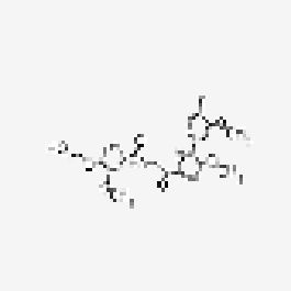 COc1cc(-c2nc(C(=O)CNC(=O)c3ccc(OCCO)c(OC)c3)ccc2OC)ccc1F